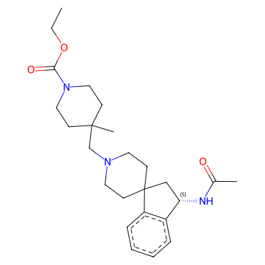 CCOC(=O)N1CCC(C)(CN2CCC3(CC2)C[C@H](NC(C)=O)c2ccccc23)CC1